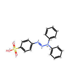 O=S(=O)(O)c1ccc(N=NN(c2ccccc2)c2ccccc2)cc1